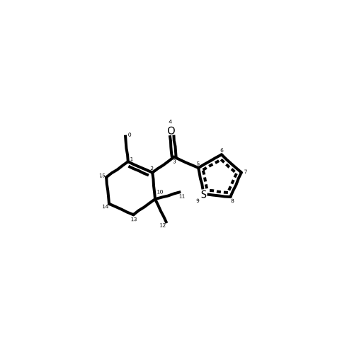 CC1=C(C(=O)c2cccs2)C(C)(C)CCC1